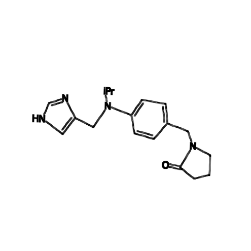 CC(C)N(Cc1c[nH]cn1)c1ccc(CN2CCCC2=O)cc1